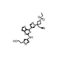 CCS(=O)(=O)N1CC(CC#N)(n2cc(-c3nc(Nc4cnn(CCO)c4)nc4ccsc34)cn2)C1